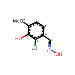 COc1ccc(C=NO)c(Cl)c1O